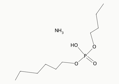 CCCCCCOP(=O)(O)OCCCC.N